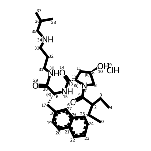 CCC(CC)C(=O)N1C[C@H](O)C[C@H]1C(=O)N[C@H](Cc1ccc2ccccc2c1)C(=O)NCCCNCC(C)C.Cl